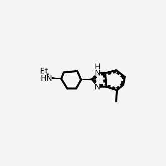 CCN[C@H]1CC[C@@H](c2nc3c(C)cccc3[nH]2)CC1